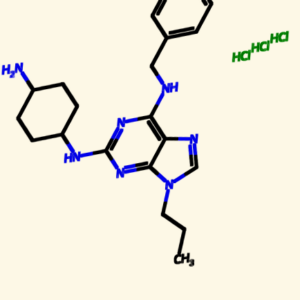 CCCn1cnc2c(NCc3ccccc3)nc(NC3CCC(N)CC3)nc21.Cl.Cl.Cl